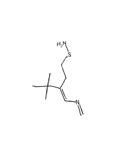 C=N/C=C(\CCSN)C(C)(C)C